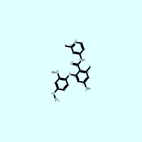 COc1cc(OC(F)(F)F)ccc1Oc1cc(C(C)(C)C)cc(C)c1C(=O)Nc1ccnc(C)c1